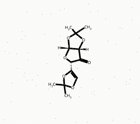 CC1(C)OC=C([C@@H]2O[C@@H]3OC(C)(C)O[C@@H]3C2=O)O1